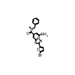 CN(Cc1ccccc1)C(=O)c1cc(N)n2nc(-c3ccc(Br)o3)nc2c1